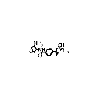 CN(C)CC1(c2ccc(C(=O)NC3COCC3N)cc2)CC1